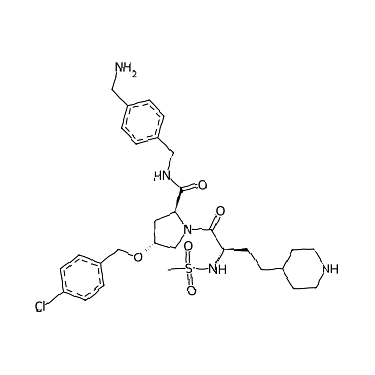 CS(=O)(=O)N[C@H](CCC1CCNCC1)C(=O)N1C[C@H](OCc2ccc(Cl)cc2)C[C@H]1C(=O)NCc1ccc(CN)cc1